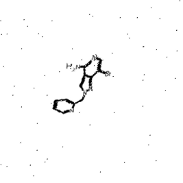 Nc1n[c]c(Br)c2nn(Cc3ccccn3)cc12